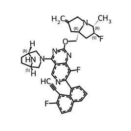 C#Cc1c(F)ccc2cccc(-c3ncc4c(N5C[C@H]6CC[C@@H](C5)N6)nc(OC[C@]56CC(=C)CN5[C@H](C)[C@@H](F)C6)nc4c3F)c12